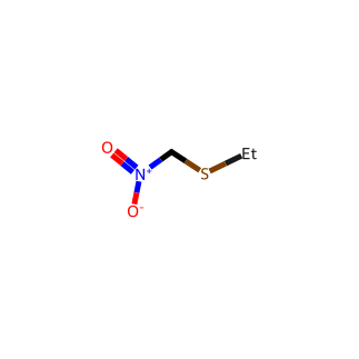 CCSC[N+](=O)[O-]